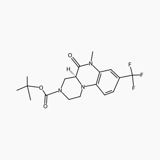 CN1C(=O)[C@@H]2CN(C(=O)OC(C)(C)C)CCN2c2ccc(C(F)(F)F)cc21